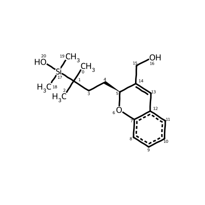 CC(C)(CC[C@@H]1Oc2ccccc2C=C1CO)[Si](C)(C)O